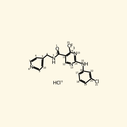 Cl.O=C(NCc1ccncc1)c1cnc(Nc2cccc(Cl)c2)nc1C(F)(F)F